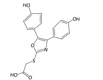 O=C(O)CSc1nc(-c2ccc(O)cc2)c(-c2ccc(O)cc2)o1